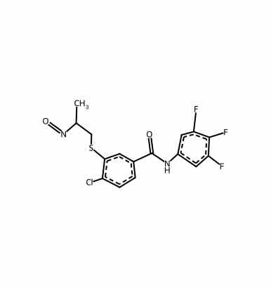 CC(CSc1cc(C(=O)Nc2cc(F)c(F)c(F)c2)ccc1Cl)N=O